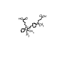 CN(CCC(=O)O)c1ccc(/C=C/C2=[N+](CCCCC(=O)O)c3ccccc3C2(C)C)cc1